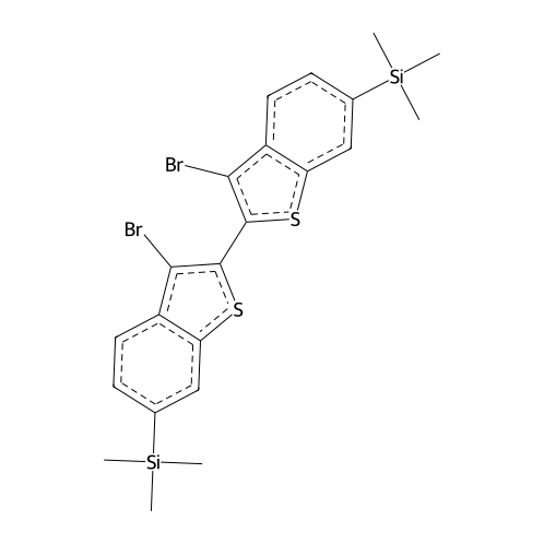 C[Si](C)(C)c1ccc2c(Br)c(-c3sc4cc([Si](C)(C)C)ccc4c3Br)sc2c1